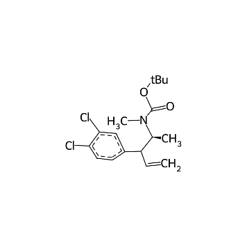 C=CC(c1ccc(Cl)c(Cl)c1)[C@H](C)N(C)C(=O)OC(C)(C)C